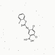 OB(O)c1c[c]([Au][C](=S)Oc2ccccc2F)c(Cl)cc1Cl